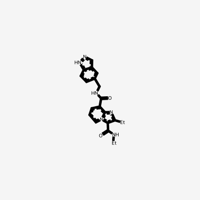 CCNC(=O)c1c(CC)nc2c(C(=O)NCc3ccc4[nH]ncc4c3)cccn12